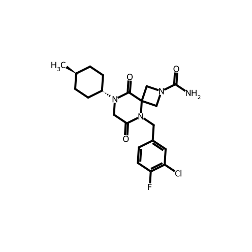 C[C@H]1CC[C@H](N2CC(=O)N(Cc3ccc(F)c(Cl)c3)C3(CN(C(N)=O)C3)C2=O)CC1